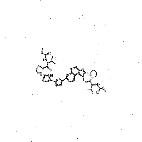 COC(=O)NC(C(=O)N1CCC[C@H]1c1nc2ccc3cc(-c4cnc(-c5cnc([C@@H]6CCCN6C(=O)[C@@H](NC(=O)OC)C(C)C)[nH]5)s4)ccc3c2[nH]1)C(C)C